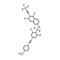 Cc1ccc(C#Cc2cc(F)c(C(F)(F)Oc3ccc4c(F)c(C#CC(F)(F)F)c(F)cc4c3)c(F)c2)cc1